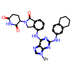 CC(C)n1cnc2c(Nc3cccc4c3CN(C3CCC(=O)NC3=O)C4=O)nc(Nc3ccc4c(c3)CCCC4)nc21